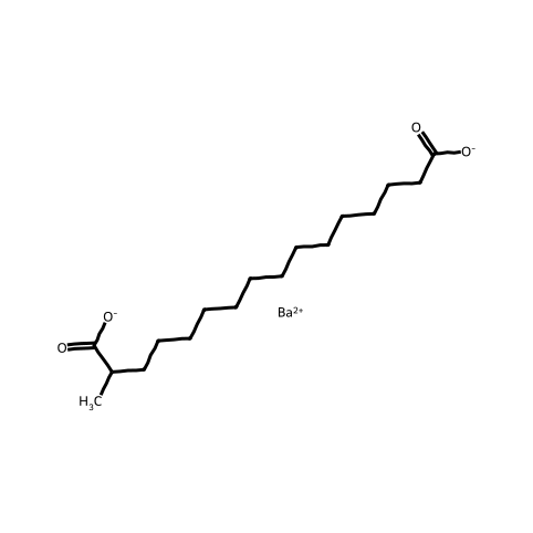 CC(CCCCCCCCCCCCCC(=O)[O-])C(=O)[O-].[Ba+2]